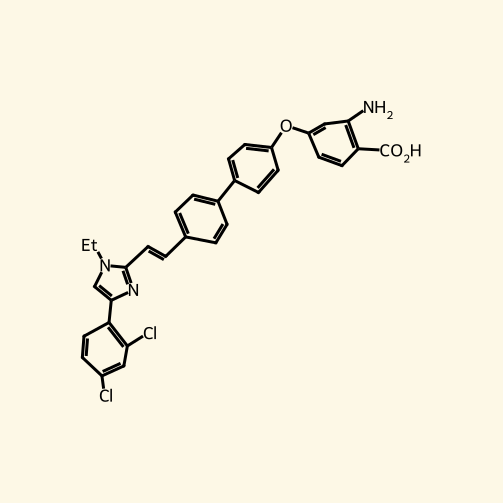 CCn1cc(-c2ccc(Cl)cc2Cl)nc1C=Cc1ccc(-c2ccc(Oc3ccc(C(=O)O)c(N)c3)cc2)cc1